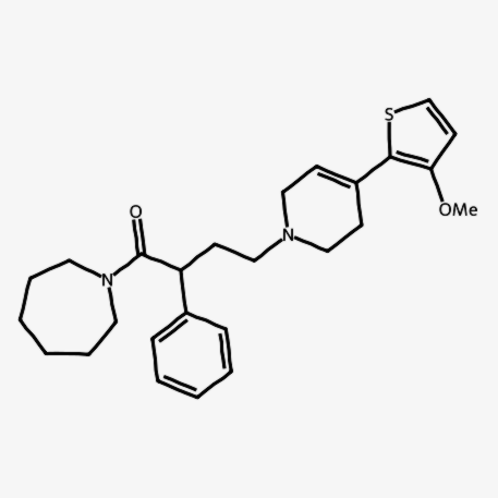 COc1ccsc1C1=CCN(CCC(C(=O)N2CCCCCC2)c2ccccc2)CC1